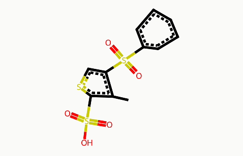 Cc1c(S(=O)(=O)c2ccccc2)csc1S(=O)(=O)O